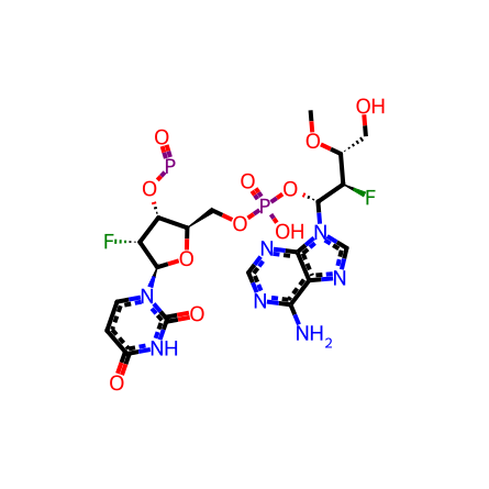 CO[C@H](CO)[C@@H](F)[C@@H](OP(=O)(O)OC[C@H]1O[C@@H](n2ccc(=O)[nH]c2=O)[C@H](F)[C@@H]1OP=O)n1cnc2c(N)ncnc21